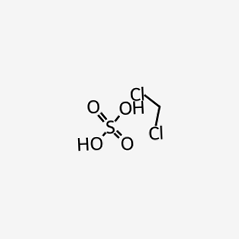 ClCCl.O=S(=O)(O)O